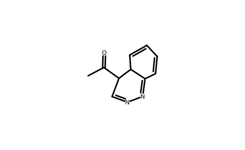 CC(=O)C1C=NN=C2C=CC=CC21